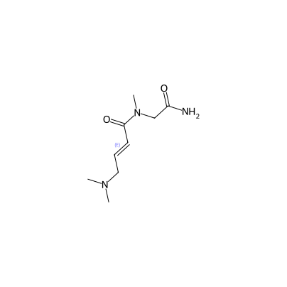 CN(C)C/C=C/C(=O)N(C)CC(N)=O